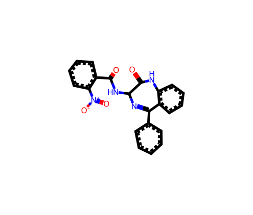 O=C(NC1N=C(c2ccccc2)c2ccccc2NC1=O)c1ccccc1[N+](=O)[O-]